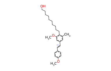 COc1ccc(/C=C/c2cc(C)c(CCCCCCCCCCO)c(OC)c2)cc1